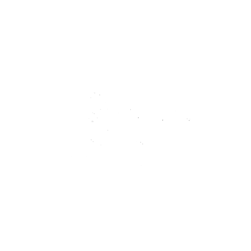 CC(C)C[C@H](NC(=O)C(F)(F)F)C(=O)N1[C@H]2CC[C@@H]([C@H]1C(=O)N[C@@H](C#N)C[C@H]1CCCNC1=O)C(F)(F)C2